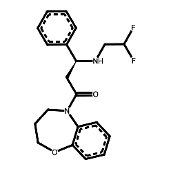 O=C(C[C@H](NCC(F)F)c1ccccc1)N1CCCOc2ccccc21